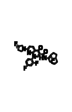 O=C(NC1=C2CCC3CC(C1)CC23)c1cn(-c2ccc(F)cc2F)c2nc(N3CC[C@H](F)C3)ccc2c1=O